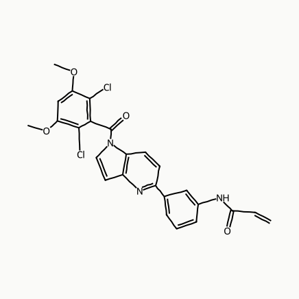 C=CC(=O)Nc1cccc(-c2ccc3c(ccn3C(=O)c3c(Cl)c(OC)cc(OC)c3Cl)n2)c1